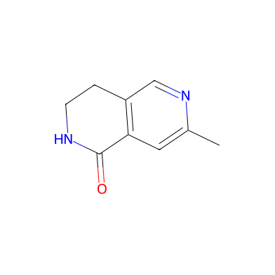 Cc1cc2c(cn1)CCNC2=O